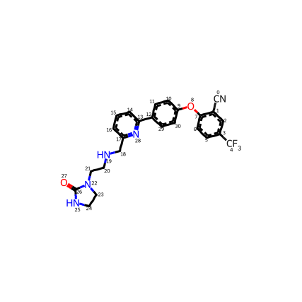 N#Cc1cc(C(F)(F)F)ccc1Oc1ccc(-c2cccc(CNCCN3CCNC3=O)n2)cc1